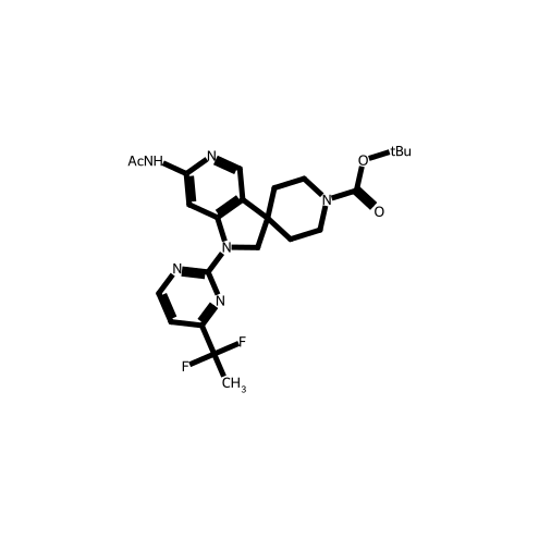 CC(=O)Nc1cc2c(cn1)C1(CCN(C(=O)OC(C)(C)C)CC1)CN2c1nccc(C(C)(F)F)n1